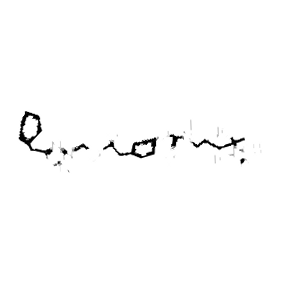 CC(O)(CCCNC(=O)Oc1ccc(CC(=O)OCn2nnc(Cc3ccccc3)n2)cc1)P(=O)(O)O